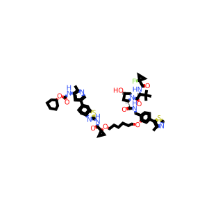 Cc1ncc(-c2ccc3nc(NC(=O)C4(OCCCCCCOc5cc(-c6scnc6C)ccc5CNC(=O)[C@@H]5C[C@@H](O)CN5C(=O)[C@@H](NC(=O)C5(F)CC5)C(C)(C)C)CC4)sc3c2)cc1NC(=O)OC1CCCCC1